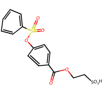 O=C(OCCS(=O)(=O)O)c1ccc(OS(=O)(=O)c2ccccc2)cc1